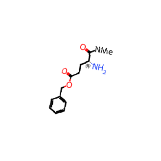 CNC(=O)[C@H](N)CCC(=O)OCc1ccccc1